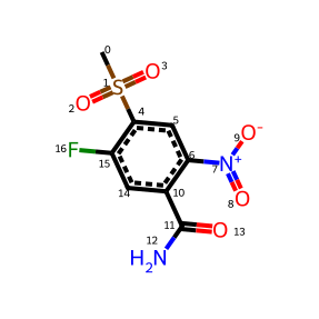 CS(=O)(=O)c1cc([N+](=O)[O-])c(C(N)=O)cc1F